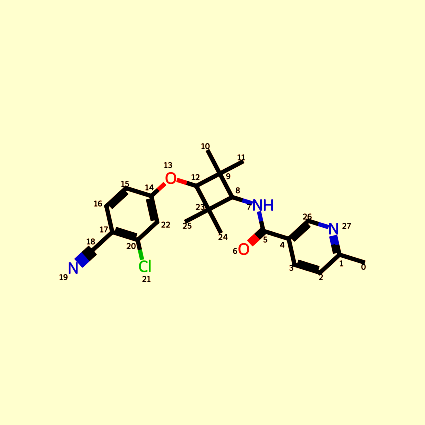 Cc1ccc(C(=O)NC2C(C)(C)C(Oc3ccc(C#N)c(Cl)c3)C2(C)C)cn1